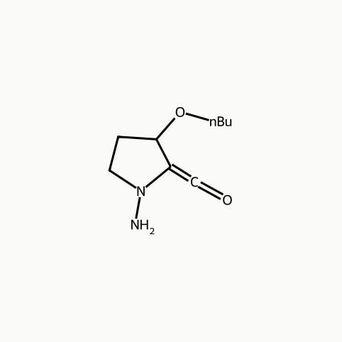 CCCCOC1CCN(N)C1=C=O